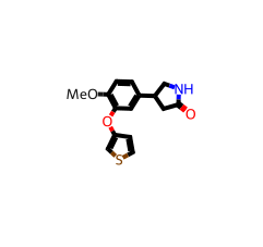 COc1ccc(C2CNC(=O)C2)cc1Oc1ccsc1